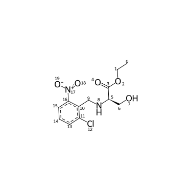 CCOC(=O)[C@@H](CO)NCc1c(Cl)cccc1[N+](=O)[O-]